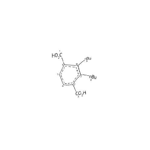 CCCCc1c(C(=O)O)ccc(C(=O)O)c1CCCC